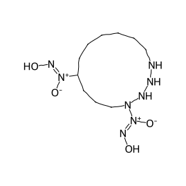 [O-][N+](=NO)C1CCCCCCNNNN([N+]([O-])=NO)CCC1